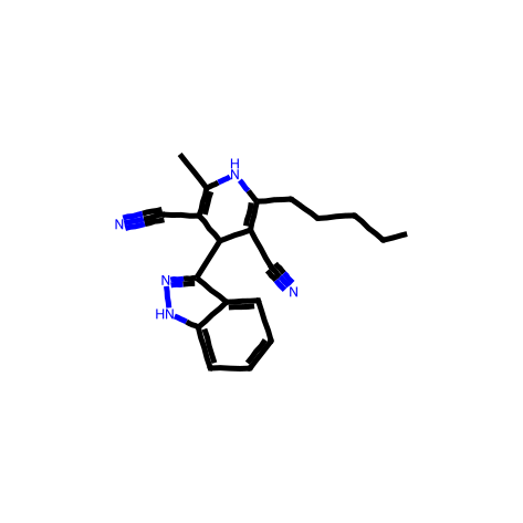 CCCCCC1=C(C#N)C(c2n[nH]c3ccccc23)C(C#N)=C(C)N1